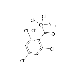 [NH2][Cr]([Cl])([Cl])([Cl])[C](=O)c1c(Cl)cc(Cl)cc1Cl